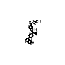 O=C(c1ccc2nc(C(C3CC3)N3CCC(c4ccnc5ccc(F)cc45)CC3)[nH]c2c1)N1CC(O)C1